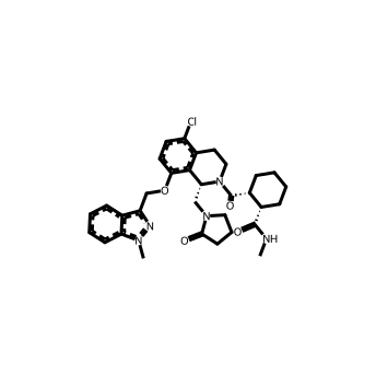 CNC(=O)[C@H]1CCCC[C@H]1C(=O)N1CCc2c(Cl)ccc(OCc3nn(C)c4ccccc34)c2[C@H]1CN1CCCC1=O